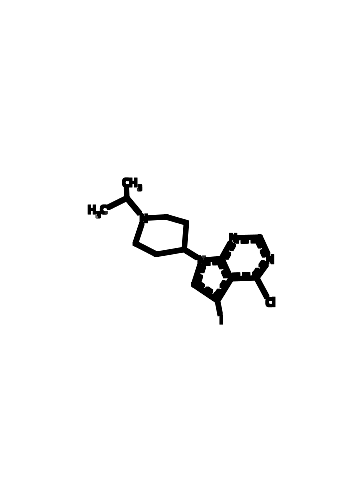 CC(C)N1CCC(n2cc(I)c3c(Cl)ncnc32)CC1